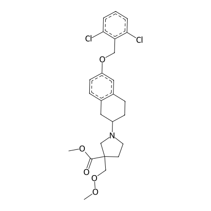 COOCC1(C(=O)OC)CCN(C2CCc3cc(OCc4c(Cl)cccc4Cl)ccc3C2)C1